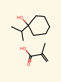 C=C(C)C(=O)O.CC(C)C1(O)CCCCC1